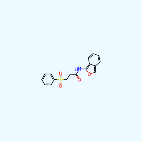 O=C(CCS(=O)(=O)c1ccccc1)Nc1o[c]c2ccccc12